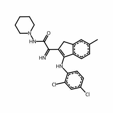 Cc1ccc2c(c1)CC(C(=N)C(=O)NN1CCCCC1)=C2Nc1ccc(Cl)cc1Cl